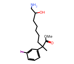 COC(=O)C(C)(CCCCCC(O)CN)c1cccc(I)c1